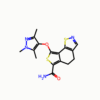 Cc1nn(C)c(C)c1Oc1sc(C(N)=O)c2c1-c1sncc1CC2